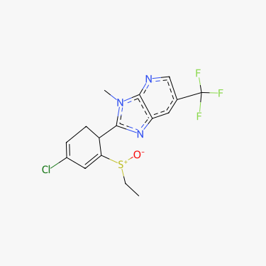 CC[S+]([O-])C1=CC(Cl)=CCC1c1nc2cc(C(F)(F)F)cnc2n1C